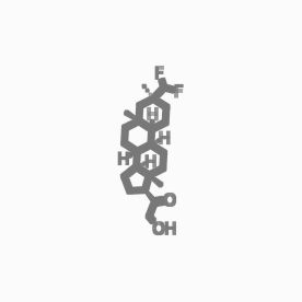 C[C@]1(C(F)F)CC[C@@H]2[C@H]3CC[C@]4(C)[C@@H](C(=O)CO)CC[C@H]4[C@@H]3CC[C@]2(C)C1